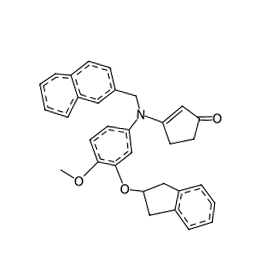 COc1ccc(N(Cc2ccc3ccccc3c2)C2=CC(=O)CC2)cc1OC1Cc2ccccc2C1